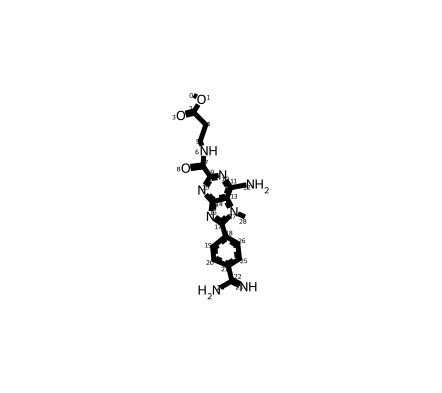 COC(=O)CCNC(=O)c1nc(N)c2c(n1)nc(-c1ccc(C(=N)N)cc1)n2C